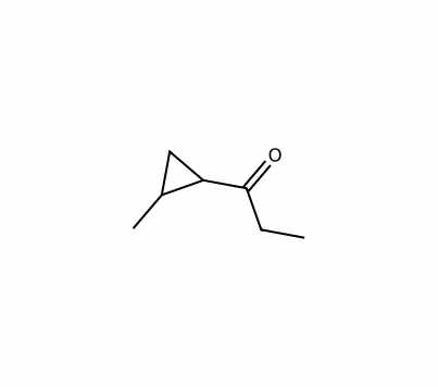 CCC(=O)C1CC1C